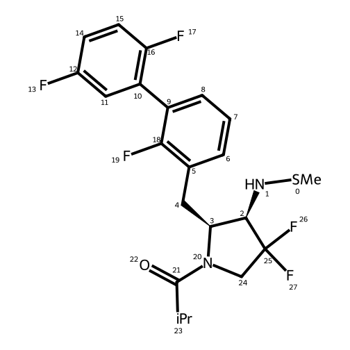 CSN[C@@H]1[C@H](Cc2cccc(-c3cc(F)ccc3F)c2F)N(C(=O)C(C)C)CC1(F)F